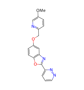 COc1ccc(COc2ccc3oc(-c4cccnn4)nc3c2)nc1